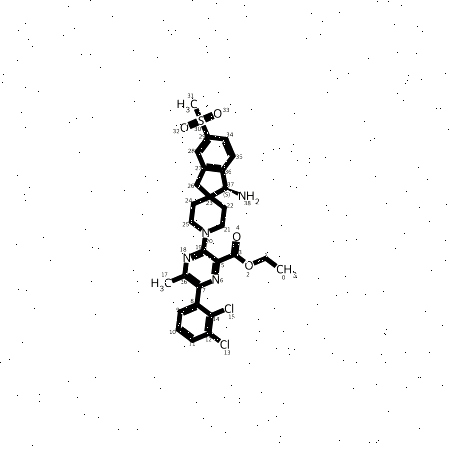 CCOC(=O)c1nc(-c2cccc(Cl)c2Cl)c(C)nc1N1CCC2(CC1)Cc1cc(S(C)(=O)=O)ccc1[C@H]2N